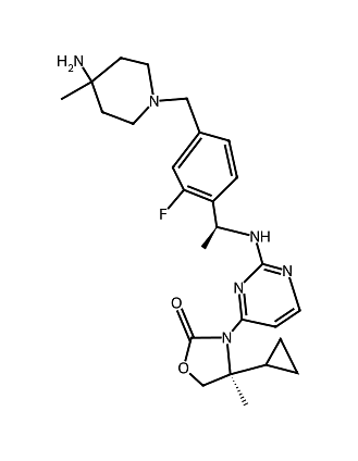 C[C@H](Nc1nccc(N2C(=O)OC[C@]2(C)C2CC2)n1)c1ccc(CN2CCC(C)(N)CC2)cc1F